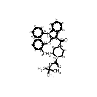 Cc1ccccc1Oc1c(C(=O)N2CCN(C(=O)OC(C)(C)C)CC2)c2ccccc2n1-c1ccccc1